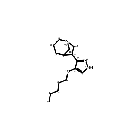 CCCCCSc1c[nH]nc1C1CN2CCCC1C2